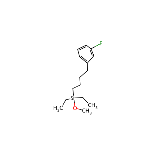 CC[Si](CC)(CCCCc1cccc(F)c1)OC